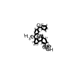 CC(c1ccccc1)c1ccc(C(C)c2cccc(-c3cc(S(=O)(=O)O)ccc3O)c2O)cc1